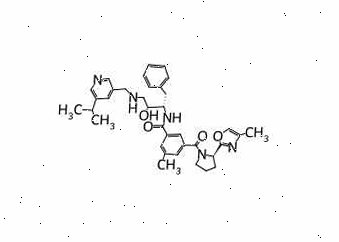 Cc1cc(C(=O)N[C@@H](Cc2ccccc2)[C@H](O)CNCc2cncc(C(C)C)c2)cc(C(=O)N2CCC[C@@H]2c2nc(C)co2)c1